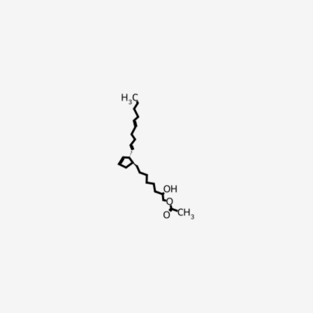 CCCCC=CCCC=C[C@H]1C=CC[C@@H]1CCCCCCC(O)COC(C)=O